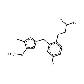 CCC(CC)COc1ccc(Br)cc1Cn1cc(OC(=O)O)c(C)n1